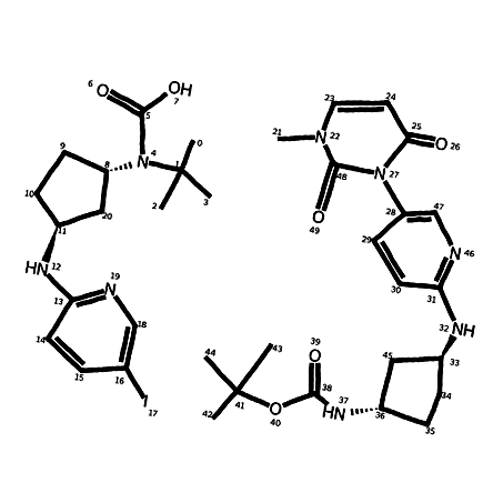 CC(C)(C)N(C(=O)O)[C@H]1CC[C@H](Nc2ccc(I)cn2)C1.Cn1ccc(=O)n(-c2ccc(N[C@H]3CC[C@H](NC(=O)OC(C)(C)C)C3)nc2)c1=O